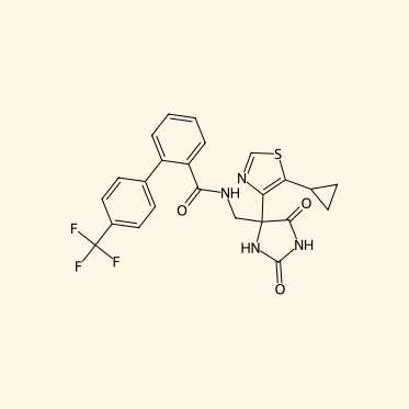 O=C1NC(=O)C(CNC(=O)c2ccccc2-c2ccc(C(F)(F)F)cc2)(c2ncsc2C2CC2)N1